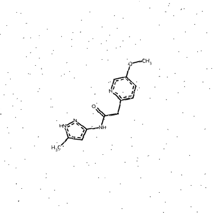 COc1ccc(CC(=O)Nc2cc(C)[nH]n2)nc1